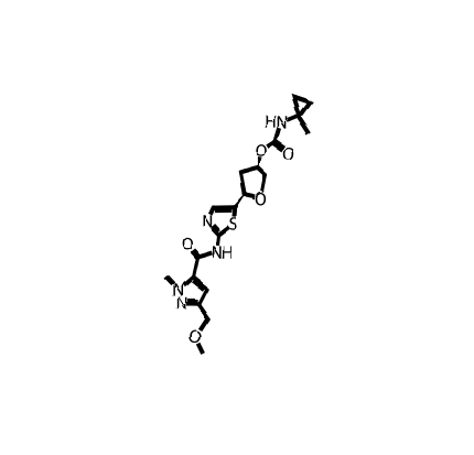 COCc1cc(C(=O)Nc2ncc([C@H]3C[C@@H](OC(=O)NC4(C)CC4)CO3)s2)n(C)n1